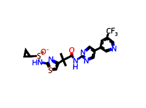 CC(C)(C(=O)Nc1ncc(-c2cncc(C(F)(F)F)c2)cn1)c1csc(N[S+]([O-])C2CC2)n1